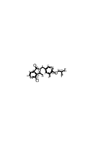 Cc1cc(CN2C(=O)c3ccnc(Cl)c3C2C)cnc1OCC(F)F